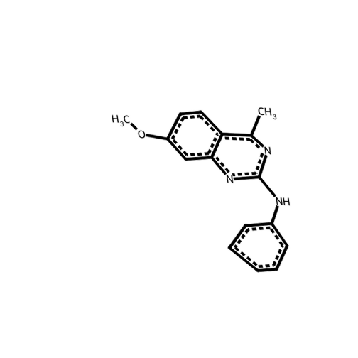 COc1ccc2c(C)nc(Nc3ccccc3)nc2c1